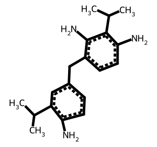 CC(C)c1cc(Cc2ccc(N)c(C(C)C)c2N)ccc1N